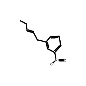 CCC=CCc1cccc([N+](=O)[O-])c1